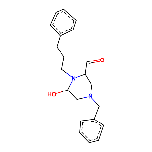 O=CC1CN(Cc2ccccc2)CC(O)N1CCCc1ccccc1